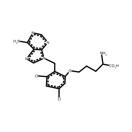 Nc1ncnc2c1ncn2Cc1c(Cl)cc(Cl)cc1OCCCC(N)C(=O)O